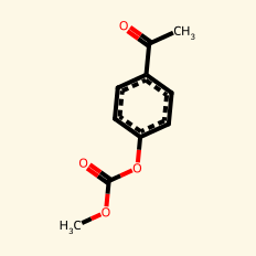 COC(=O)Oc1ccc(C(C)=O)cc1